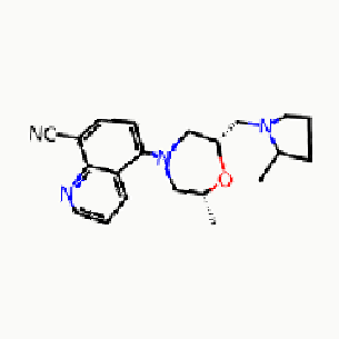 CC1CCCN1C[C@H]1CN(c2ccc(C#N)c3ncccc23)C[C@@H](C)O1